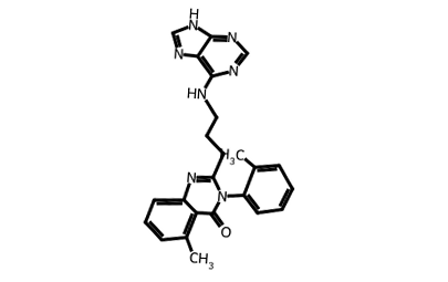 Cc1ccccc1-n1c(CCCNc2ncnc3[nH]cnc23)nc2cccc(C)c2c1=O